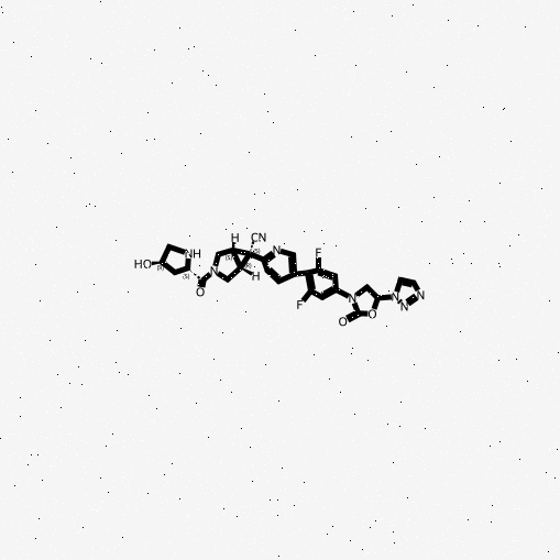 N#C[C@]1(c2ccc(-c3c(F)cc(N4CC(n5ccnn5)OC4=O)cc3F)cn2)[C@@H]2CN(C(=O)[C@@H]3C[C@@H](O)CN3)C[C@@H]21